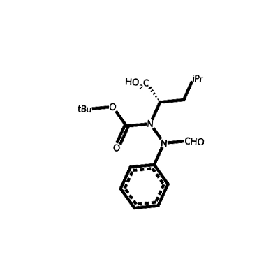 CC(C)C[C@@H](C(=O)O)N(C(=O)OC(C)(C)C)N(C=O)c1ccccc1